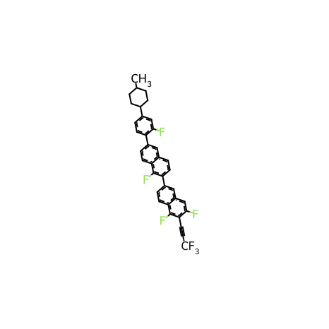 CC1CCC(c2ccc(-c3ccc4c(F)c(-c5ccc6c(F)c(C#CC(F)(F)F)c(F)cc6c5)ccc4c3)c(F)c2)CC1